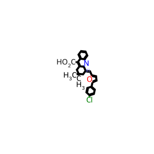 CC1(C)C/C(=C\c2ccc(-c3ccc(Cl)cc3)o2)c2nc3ccccc3c(C(=O)O)c2C1